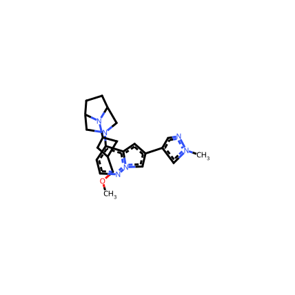 COCC1CC(N2C3CCC2CN(c2ccnn4cc(-c5cnn(C)c5)cc24)C3)C1